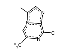 FC(F)(F)c1cn2c(I)cnc2c(Cl)n1